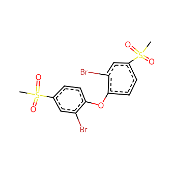 CS(=O)(=O)c1ccc(Oc2ccc(S(C)(=O)=O)cc2Br)c(Br)c1